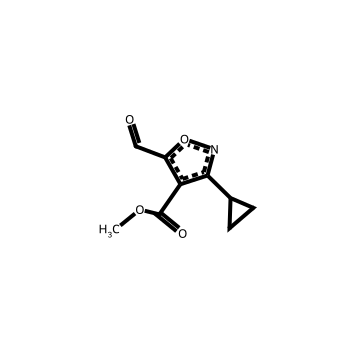 COC(=O)c1c(C2CC2)noc1C=O